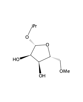 COC[C@H]1O[C@@H](OC(C)C)[C@H](O)[C@@H]1O